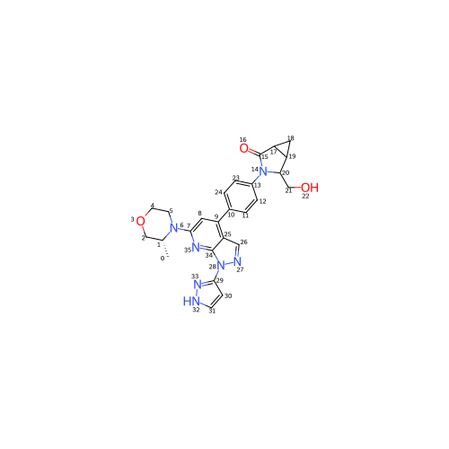 C[C@@H]1COCCN1c1cc(-c2ccc(N3C(=O)C4CC4C3CO)cc2)c2cnn(-c3cc[nH]n3)c2n1